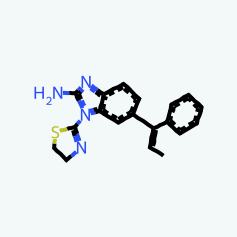 CC=C(c1ccccc1)c1ccc2nc(N)n(C3=NCCS3)c2c1